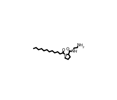 CCCCCCCCCCCC(=O)N1CCCC1C(=O)NCCN